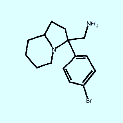 NCC1(c2ccc(Br)cc2)CCC2CCCCN21